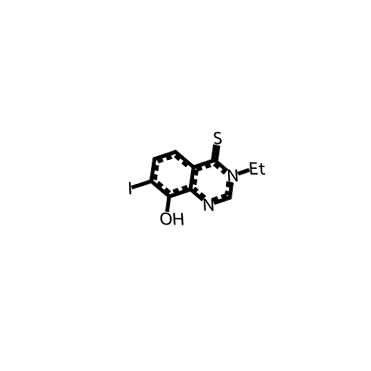 CCn1cnc2c(O)c(I)ccc2c1=S